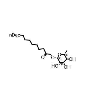 CCCCCCCCCCCCCCCCCC(=O)CO[C@@H]1O[C@@H](C)[C@@H](O)[C@@H](O)[C@@H]1O